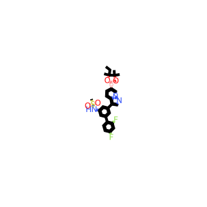 CCC1(C)OB(c2ccc3c(-c4cc(NS(C)(=O)=O)cc(-c5ccc(F)cc5F)c4)cnn3c2)OC1(C)C